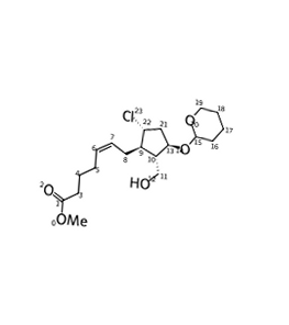 COC(=O)CCC/C=C\C[C@@H]1[C@@H](CO)[C@H](OC2CCCCO2)C[C@H]1Cl